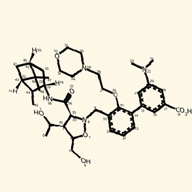 CC(O)[C@@H]1C(CO)ON(Cc2cccc(-c3cc(C(=O)O)cc(N(C)C)c3)c2OCCN2CCOCC2)[C@@H]1C(=O)N[C@H]1C[C@H]2C[C@@H](C1C)C2(C)C